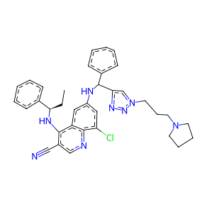 CC[C@@H](Nc1c(C#N)cnc2c(Cl)cc(NC(c3ccccc3)c3cn(CCCN4CCCC4)nn3)cc12)c1ccccc1